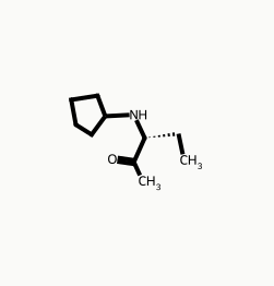 CC[C@@H](NC1CCCC1)C(C)=O